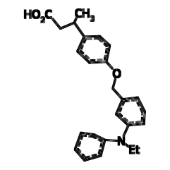 CCN(c1ccccc1)c1cccc(COc2ccc(C(C)CC(=O)O)cc2)c1